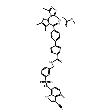 COC(=O)C[C@@H]1N=C(c2ccc(-c3ccc(C(=O)NCc4cccc(S(=O)(=O)Nc5ccc(C)c6c(C#N)c[nH]c56)c4)cc3)cc2)c2c(sc(C)c2C)-n2c(C)nnc21